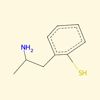 CC(N)Cc1ccccc1S